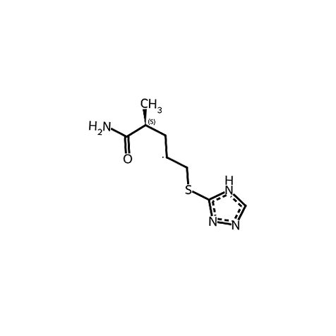 C[C@@H](C[CH]CSc1nnc[nH]1)C(N)=O